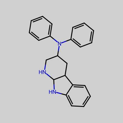 c1ccc(N(c2ccccc2)C2CNC3Nc4ccccc4C3C2)cc1